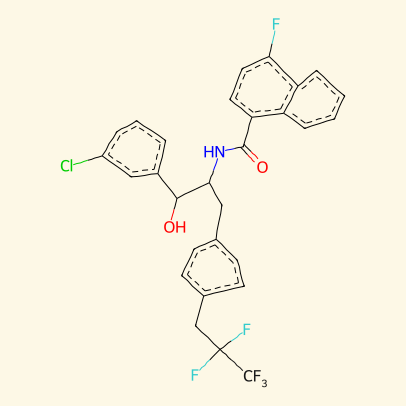 O=C(NC(Cc1ccc(CC(F)(F)C(F)(F)F)cc1)C(O)c1cccc(Cl)c1)c1ccc(F)c2ccccc12